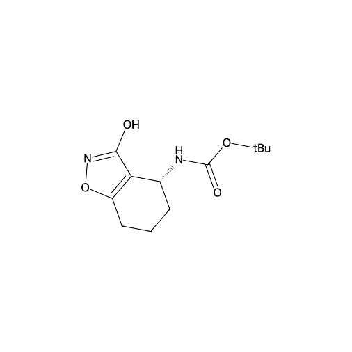 CC(C)(C)OC(=O)N[C@@H]1CCCc2onc(O)c21